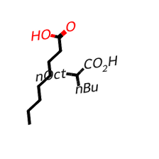 CCCCCCCC(=O)O.CCCCCCCCC(CCCC)C(=O)O